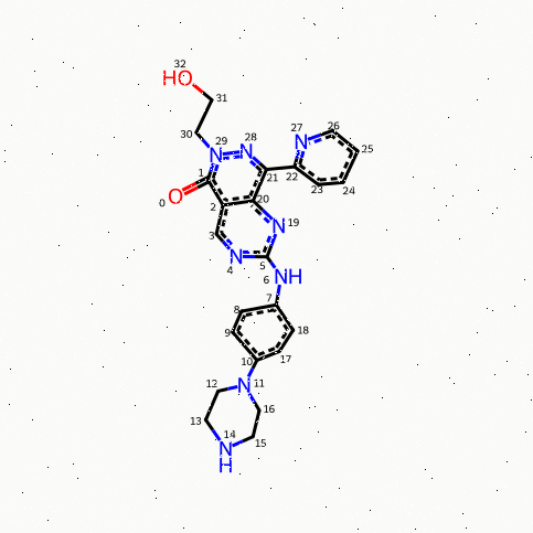 O=c1c2cnc(Nc3ccc(N4CCNCC4)cc3)nc2c(-c2ccccn2)nn1CCO